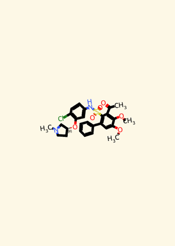 COc1cc(-c2ccccc2)c(S(=O)(=O)Nc2ccc(Cl)c(O[C@@H]3CCN(C)C3)c2)c(C(C)=O)c1OC